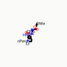 CCCCCN1c2cc(NS(=O)(=O)C(F)(F)F)c(N=Nc3nnc(C(=O)OCCOC)s3)cc2CCC1CC